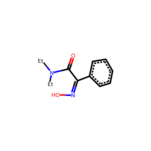 CCN(CC)C(=O)/C(=N\O)c1ccccc1